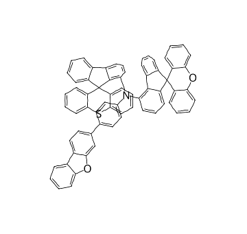 c1ccc2c(c1)Oc1ccccc1C21c2ccccc2-c2c(N(c3ccc(-c4ccc5c(c4)oc4ccccc45)cc3)c3cccc4c3C3(c5ccccc5Sc5ccccc53)c3ccccc3-4)cccc21